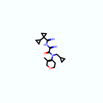 CC1=C(N(CC2CC2)C(=O)C(=N)NC(=N)C2(C3CC3)CC2)CCOC1